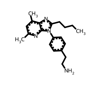 CCCCc1nc2c(C)cc(C)nc2n1-c1ccc(CCN)cc1